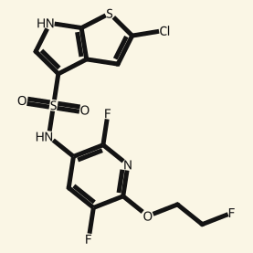 O=S(=O)(Nc1cc(F)c(OCCF)nc1F)c1c[nH]c2sc(Cl)cc12